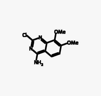 COc1ccc2c(N)nc(Cl)nc2c1OC